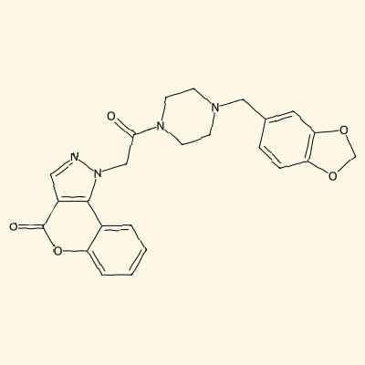 O=C(Cn1ncc2c(=O)oc3ccccc3c21)N1CCN(Cc2ccc3c(c2)OCO3)CC1